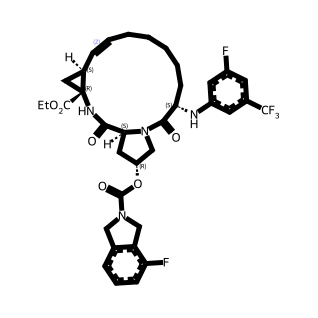 CCOC(=O)[C@@]12C[C@H]1/C=C\CCCCC[C@H](Nc1cc(F)cc(C(F)(F)F)c1)C(=O)N1C[C@H](OC(=O)N3Cc4cccc(F)c4C3)C[C@H]1C(=O)N2